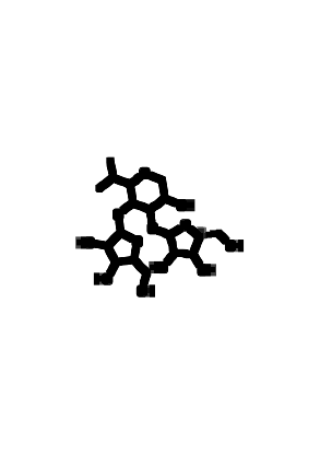 CC(C)C1OCC(O)C(OC2O[C@H](CO)C(O)C2O)C1OC1OC(CO)C(O)C1O